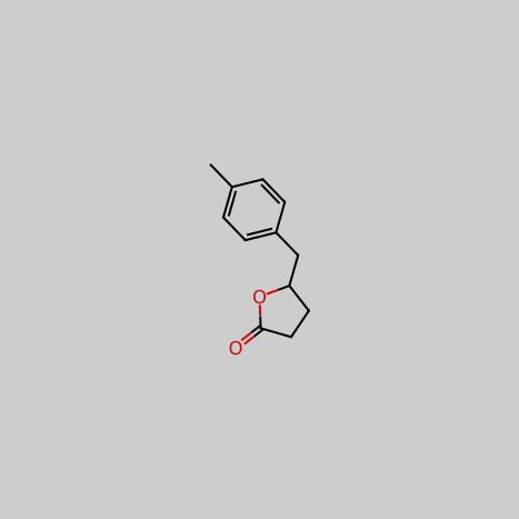 Cc1ccc(CC2CCC(=O)O2)cc1